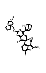 N#Cc1c(N)sc2c(F)ccc(-c3c(Cl)cc4c(N5CC6CCC5CN6)nc(OC[C@@]56CCCN5C[C@H](F)C6)nc4c3F)c12